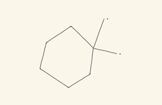 [CH2]C1([CH2])CCCCC1